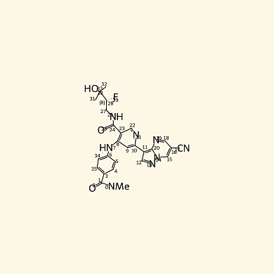 CNC(=O)c1ccc(Nc2cc(-c3cnn4cc(C#N)cnc34)ncc2C(=O)NC[C@@H](F)C(C)(C)O)cc1